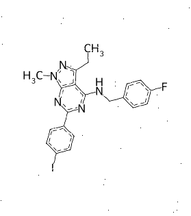 CCc1nn(C)c2nc(-c3ccc(I)cc3)nc(NCc3ccc(F)cc3)c12